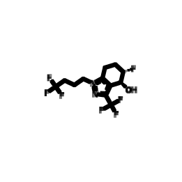 O[C@H]1c2c(C(F)(F)F)nn(CCCC(F)(F)F)c2CC[C@@H]1F